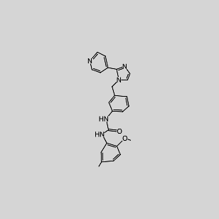 COc1ccc(C)cc1NC(=O)Nc1cccc(Cn2ccnc2-c2ccncc2)c1